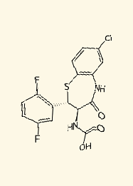 O=C(O)N[C@@H]1C(=O)Nc2cc(Cl)ccc2S[C@H]1c1cc(F)ccc1F